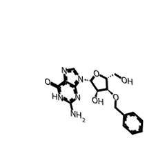 Nc1nc2c(ncn2[C@@H]2O[C@H](CO)[C@@H](OCc3ccccc3)[C@H]2O)c(=O)[nH]1